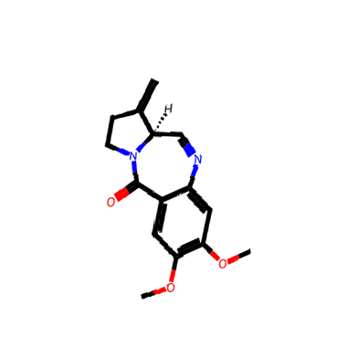 C=C1CCN2C(=O)c3cc(OC)c(OC)cc3N=C[C@H]12